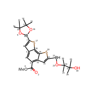 COC(=O)c1cc2cc(B3OC(C)(C)C(C)(C)O3)sc2c2sc(BOC(C)(C)C(C)(C)O)cc12